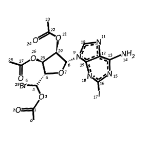 CC(=O)OC(Br)[C@H]1O[C@@H](n2cnc3c(N)nc(I)nc32)[C@H](OC(C)=O)[C@@H]1OC(C)=O